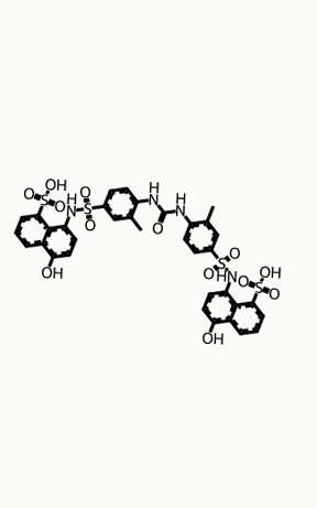 Cc1cc(S(=O)(=O)Nc2ccc(O)c3cccc(S(=O)(=O)O)c23)ccc1NC(=O)Nc1ccc(S(=O)(=O)Nc2ccc(O)c3cccc(S(=O)(=O)O)c23)cc1C